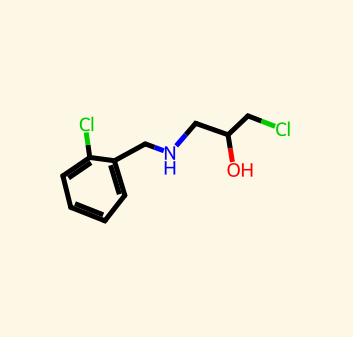 OC(CCl)CNCc1ccccc1Cl